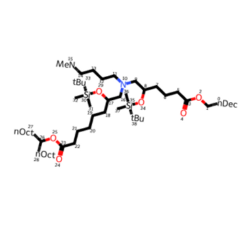 CCCCCCCCCCCOC(=O)CCCC(CN(CCCCNC)CC(CCCCCC(=O)OC(CCCCCCCC)CCCCCCCC)O[Si](C)(C)C(C)(C)C)O[Si](C)(C)C(C)(C)C